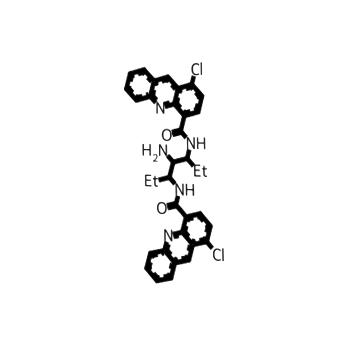 CCC(NC(=O)c1ccc(Cl)c2cc3ccccc3nc12)C(N)C(CC)NC(=O)c1ccc(Cl)c2cc3ccccc3nc12